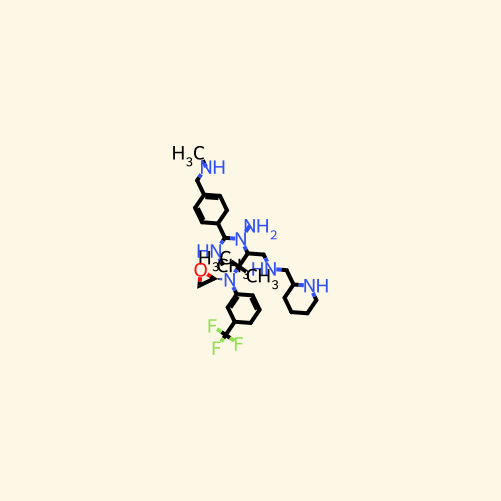 CNCC1=CCC(C(NC)N(N)C(CNCC2CCCCN2)C(C)(C)N(C2=CC(C(F)(F)F)CC=C2)[C@@H]2CO2)C=C1